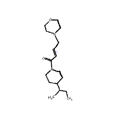 CCC(C)C1CCN(C(=O)/C=C/CN2CCOCC2)CC1